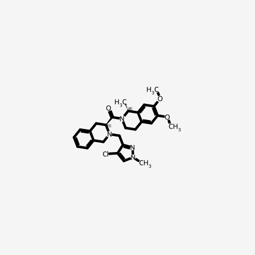 COc1cc2c(cc1OC)[C@@H](C)N(C(=O)[C@@H]1Cc3ccccc3CN1Cc1nn(C)cc1Cl)CC2